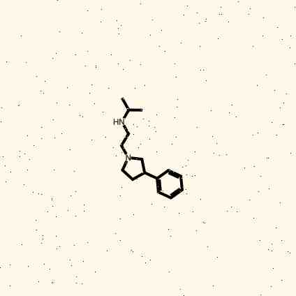 CC(C)NCCN1CCC(c2ccccc2)C1